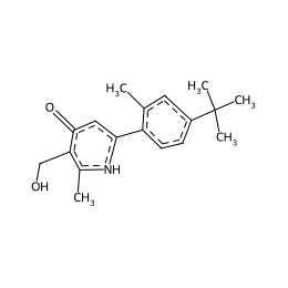 Cc1cc(C(C)(C)C)ccc1-c1cc(=O)c(CO)c(C)[nH]1